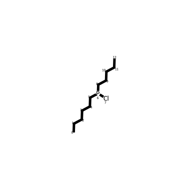 CCCCCCP(Cl)CCCCC